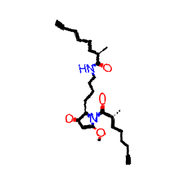 C#CCCCC[C@@H](C)C(=O)NCCCC[C@@H]1C(=O)C=C(OC)N1C(=O)[C@H](C)CCCCC#C